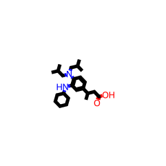 CC(C)CN(CC(C)C)c1ccc(C(C)CC(=O)O)cc1NC1CCCCC1